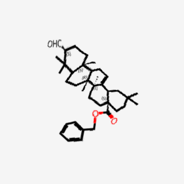 CC1(C)CC[C@]2(C(=O)OCc3ccccc3)CC[C@]3(C)C(=CCC4[C@@]5(C)CC[C@H](C=O)C(C)(C)C5CC[C@]43C)C2C1